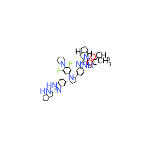 CC(C)(C)OC(=O)N1[C@H](c2nc3cc([C@H]4CC[C@H](c5ccc6[nH]c([C@@H]7CC8CCCC8N7)nc6c5)N4c4cc(F)c(N5CCCCC5)c(F)c4)ccc3[nH]2)C[C@@H]2CCC[C@@H]21